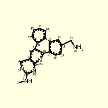 CNc1ncc2cc(-c3ccccc3)c(-c3ccc(CN)cc3)nc2n1